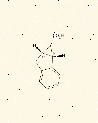 O=C(O)C1[C@H]2Cc3ccccc3[C@@H]12